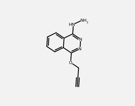 C#CCOc1nnc(NN)c2ccccc12